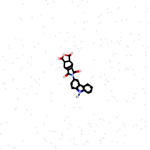 CCn1c2ccccc2c2cc(N3C(=O)C4C5C=CC(C6C(=O)OC(=O)C56)C4C3=O)ccc21